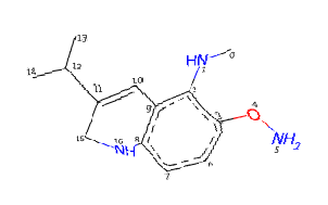 CNc1c(ON)ccc2c1C=C(C(C)C)CN2